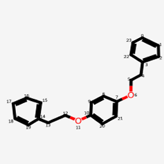 c1ccc(CCOc2ccc(OCCc3ccccc3)cc2)cc1